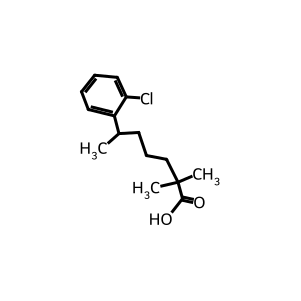 CC(CCCC(C)(C)C(=O)O)c1ccccc1Cl